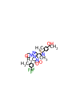 C=C(O)c1ccc(-c2nc(C)c(-c3cnc(N4CCOCC4)nc3CN3C(=O)O[C@H](c4cc(C)cc(C(F)(F)F)c4)[C@@H]3C)s2)c(C)c1